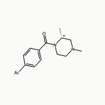 CC(=O)c1ccc(C(=O)N2CCN(C)C[C@H]2C)cc1